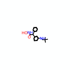 CC(C)(C)CNc1cccc(C(C(=O)NO)c2ccccc2)c1